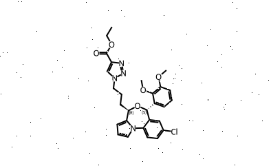 CCOC(=O)c1cn(CCC[C@H]2O[C@H](c3cccc(OC)c3OC)c3cc(Cl)ccc3-n3cccc32)nn1